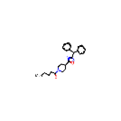 CNCCCC(=O)N1CCC(c2nc(C(c3ccccc3)c3ccccc3)no2)CC1